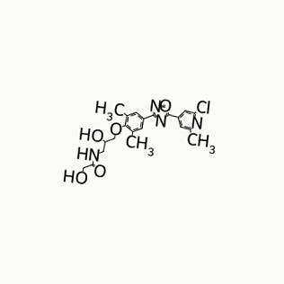 Cc1cc(-c2nc(-c3cc(C)c(OCC(O)CNC(=O)CO)c(C)c3)no2)cc(Cl)n1